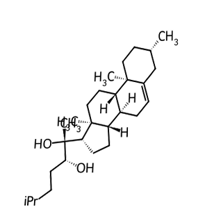 CC(C)CC[C@@H](O)[C@](C)(O)[C@H]1CC[C@H]2[C@@H]3CC=C4C[C@@H](C)CC[C@]4(C)[C@H]3CC[C@]12C